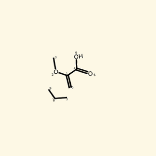 C=C(OC)C(=O)O.C[CH]C